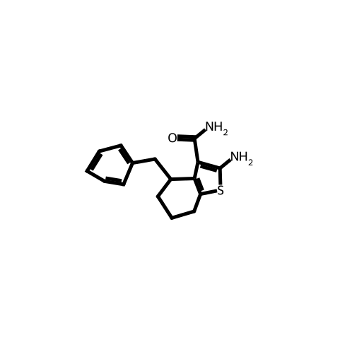 NC(=O)c1c(N)sc2c1C(Cc1ccccc1)CCC2